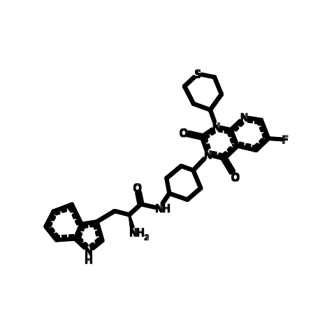 N[C@@H](Cc1c[nH]c2ccccc12)C(=O)NC1CCC(n2c(=O)c3cc(F)cnc3n(C3CCSCC3)c2=O)CC1